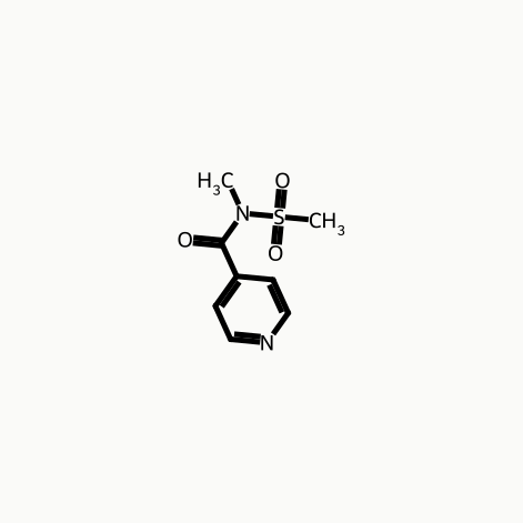 CN(C(=O)c1ccncc1)S(C)(=O)=O